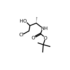 C[C@H](NC(=O)OC(C)(C)C)C(O)CCl